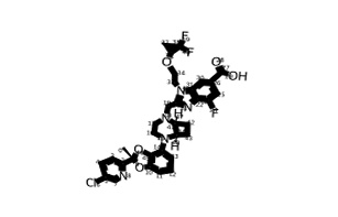 C[C@]1(c2ccc(Cl)cn2)Oc2cccc(N3CCN(Cc4nc5c(F)cc(C(=O)O)cc5n4CCOC4CC4(F)F)[C@H]4CC[C@H]43)c2O1